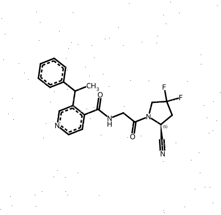 CC(c1ccccc1)c1cnccc1C(=O)NCC(=O)N1CC(F)(F)C[C@H]1C#N